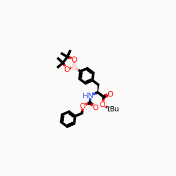 CC(C)(C)OC(=O)[C@H](Cc1ccc(B2OC(C)(C)C(C)(C)O2)cc1)NC(=O)OCc1ccccc1